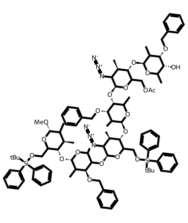 CO[C@H]1OC(CO[Si](c2ccccc2)(c2ccccc2)C(C)(C)C)[C@@H](O[C@@H]2OC(C)C(O[C@@H]3OC(CO[Si](c4ccccc4)(c4ccccc4)C(C)(C)C)[C@@H](O[C@@H]4OC(C)[C@@H](O[C@@H]5OC(COC(C)=O)[C@@H](O[C@@H]6OC(C)[C@@H](O)[C@@H](OCc7ccccc7)C6C)[C@H](C)C5N=[N+]=[N-])[C@@H](OCc5ccccc5)C4C)[C@H](C)C3N=[N+]=[N-])[C@@H](OCc3ccccc3)C2C)[C@H](C)C1C